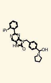 CC(C)c1ccccc1-c1ncc2[nH]c(=O)n(Cc3ccc(C(O)N4CCCC4)cc3)c2n1